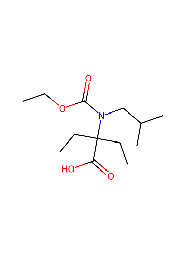 CCOC(=O)N(CC(C)C)C(CC)(CC)C(=O)O